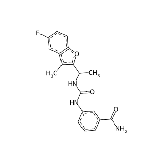 Cc1c(C(C)NC(=O)Nc2cccc(C(N)=O)c2)oc2ccc(F)cc12